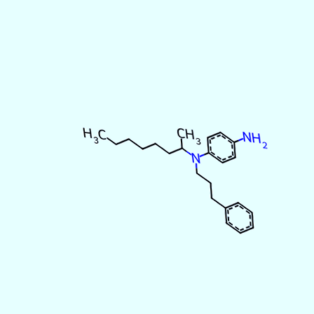 CCCCCCC(C)N(CCCc1ccccc1)c1ccc(N)cc1